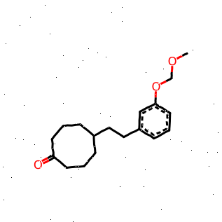 COCOc1cccc(CCC2CCCC(=O)CCC2)c1